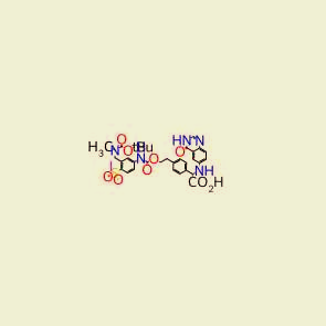 CN(Cc1cc(NC(=O)OCCc2ccc(C(Nc3ccc4nc[nH]c(=O)c4c3)C(=O)O)cc2)ccc1S(=O)(=O)I)C(=O)OC(C)(C)C